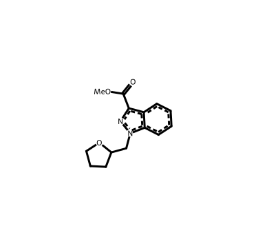 COC(=O)c1nn(CC2CCCO2)c2ccccc12